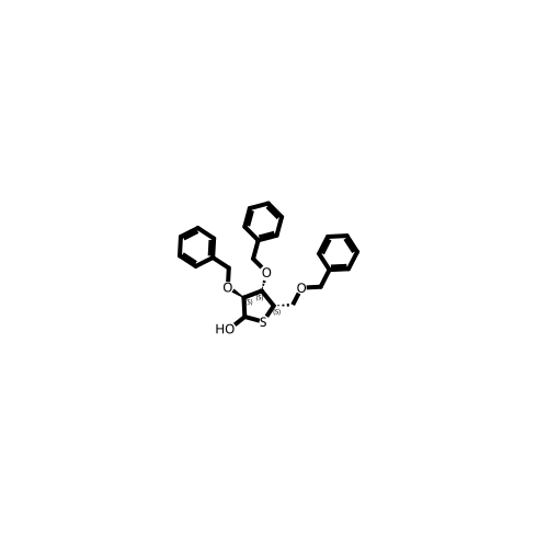 OC1S[C@@H](COCc2ccccc2)[C@@H](OCc2ccccc2)[C@@H]1OCc1ccccc1